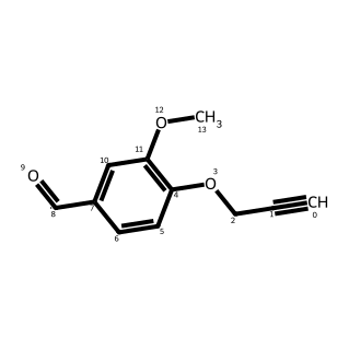 C#CCOc1ccc([C]=O)cc1OC